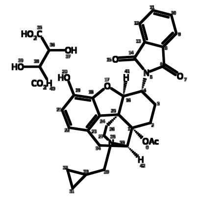 CC(=O)O[C@@]12CC[C@@H](N3C(=O)c4ccccc4C3=O)[C@@H]3Oc4c(O)ccc5c4[C@@]31CCN(CC1CC1)[C@@H]2C5.O=C(O)C(O)C(O)C(=O)O